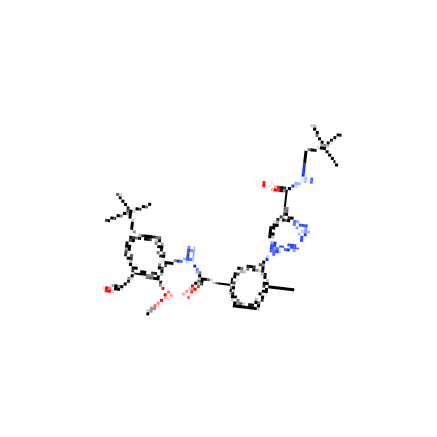 COc1c(C=O)cc(C(C)(C)C)cc1NC(=O)c1ccc(C)c(-n2cc(C(=O)NCC(C)(C)C)nn2)c1